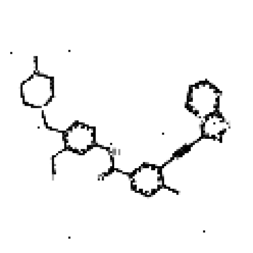 Cc1ccc(C(=O)Nc2ccc(CN3CCN(C)CC3)c(CF)c2)cc1C#Cc1nnc2ccccn12